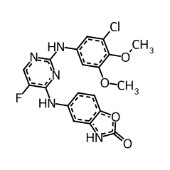 COc1cc(Nc2ncc(F)c(Nc3ccc4oc(=O)[nH]c4c3)n2)cc(Cl)c1OC